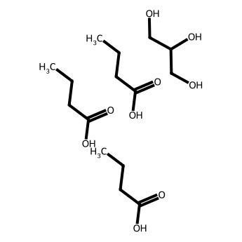 CCCC(=O)O.CCCC(=O)O.CCCC(=O)O.OCC(O)CO